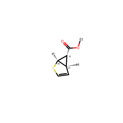 CCOC(=O)[C@@H]1[C@H]2C=CS[C@H]21